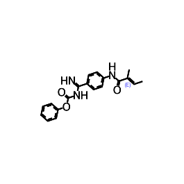 C/C=C(\C)C(=O)Nc1ccc(C(=N)NC(=O)Oc2ccccc2)cc1